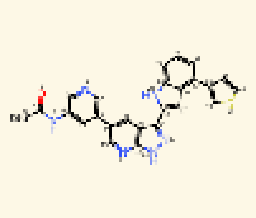 CC(C)(C)C(=O)Nc1cncc(-c2cnc3[nH]nc(-c4cc5c(-c6ccsc6)cccc5[nH]4)c3c2)c1